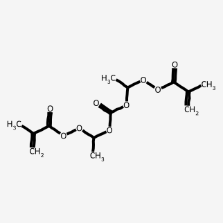 C=C(C)C(=O)OOC(C)OC(=O)OC(C)OOC(=O)C(=C)C